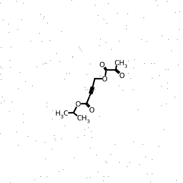 CC(=O)C(=O)OCC#CC(=O)OC(C)C